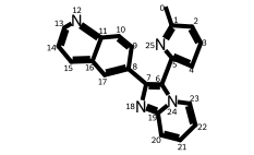 Cc1cccc(-c2c(-c3ccc4ncccc4c3)nc3ccccn23)n1